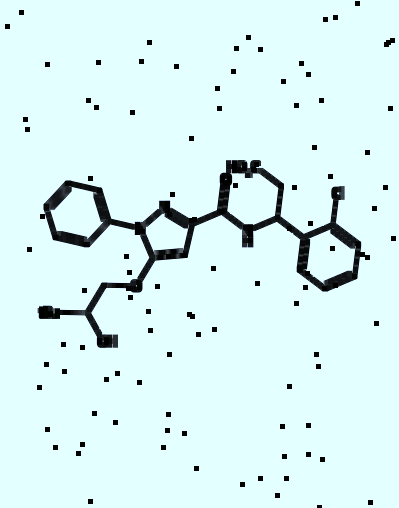 CC(C)(C)C(O)COc1cc(C(=O)NC(CC(=O)O)c2ccccc2Cl)nn1-c1ccccc1